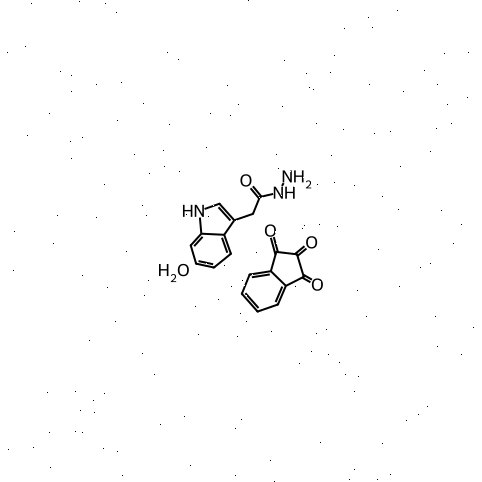 NNC(=O)Cc1c[nH]c2ccccc12.O.O=c1c(=O)c2ccccc2c1=O